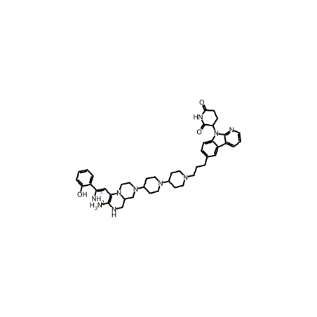 NC1=C(/C=C(\N)c2ccccc2O)N2CCN(C3CCN(C4CCN(CCCc5ccc6c(c5)c5cccnc5n6C5CCC(=O)NC5=O)CC4)CC3)CC2CN1